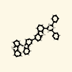 c1ccc(-c2nc(-c3ccccc3)nc(-c3cccc4c3oc3ccc(-c5ccc6c(c5)c5ccccc5n6-c5cccc6oc7ccccc7c56)cc34)n2)cc1